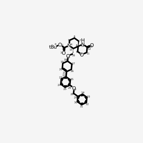 CC(C)(C)OC(=O)N1CCC[C@@]2(COCC(=O)N2)[C@@H]1COC1CC=C(c2cccc(OCc3ccccc3)c2)CC1